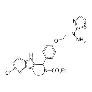 CCOC(=O)N1CCc2c([nH]c3ccc(Cl)cc23)C1c1ccc(OCCN(N)c2nccs2)cc1